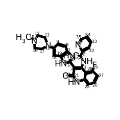 C[C@H](Nc1c(-c2nc3ccc(N4CCN(C)CC4)cc3[nH]2)c(=O)[nH]c2cccc(F)c12)c1ccccn1